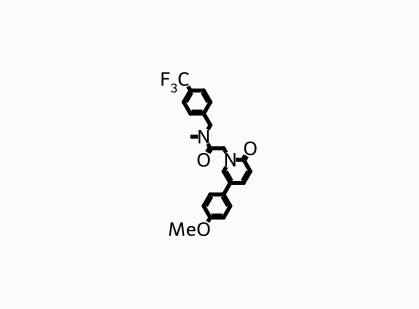 COc1ccc(-c2ccc(=O)n(CC(=O)N(C)Cc3ccc(C(F)(F)F)cc3)c2)cc1